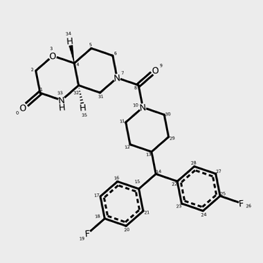 O=C1CO[C@@H]2CCN(C(=O)N3CCC(C(c4ccc(F)cc4)c4ccc(F)cc4)CC3)C[C@H]2N1